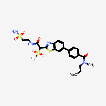 COCCN(C)C(=O)c1ccc(-c2ccc3nc(C(C(=O)NCCS(N)(=O)=O)S(C)(=O)=O)sc3c2)cc1